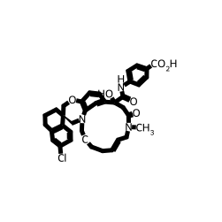 CN1C/C=C/CCCCN2C[C@@]3(CCCc4cc(Cl)ccc43)COc3ccc(cc32)C(O)(C(=O)Nc2ccc(C(=O)O)cc2)CC1=O